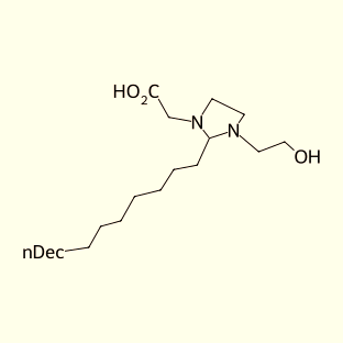 CCCCCCCCCCCCCCCCCC1N(CCO)CCN1CC(=O)O